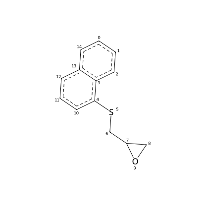 c1ccc2c(SCC3CO3)cccc2c1